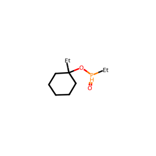 CC[PH](=O)OC1(CC)CCCCC1